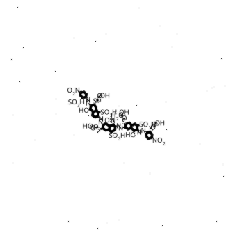 Nc1c(N=Nc2cc3c(O)c(N=Nc4ccc([N+](=O)[O-])cc4SOOO)c(S(=O)(=O)O)cc3cc2SOOO)cc(S(=O)(=O)O)c2cc(SOOO)c(N=Nc3ccc4c(O)c(N=Nc5ccc([N+](=O)[O-])cc5S(=O)(=O)O)c(SOOO)cc4c3S(=O)(=O)O)c(O)c12